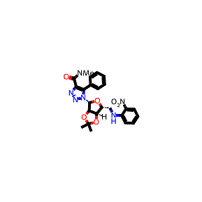 CNC(=O)c1nnn([C@@H]2O[C@H](CNc3ccccc3[N+](=O)[O-])[C@H]3OC(C)(C)OC23)c1-c1ccccc1